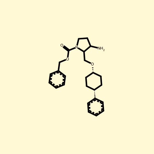 NC1CCN(C(=O)OCc2ccccc2)C1CO[C@H]1CC[C@@H](c2ccccc2)CC1